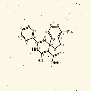 COC(=O)C1=C(Cl)NC(c2ccccn2)=NC12CCc1c(F)cccc12